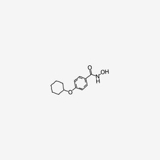 O=C(NO)c1ccc(OC2CCCCC2)cc1